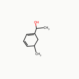 CC1C=CC=C(C(C)O)C1